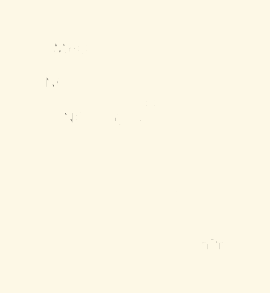 CCCC1CCC(C2CCC(C(=O)Oc3ccc(OC)c(C#N)c3C#N)CC2)CC1